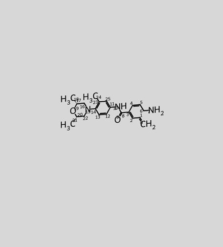 C=C/C=C(\C=C/CN)C(=O)Nc1ccc(N2C[C@@H](C)O[C@@H](C)C2)c(C)c1